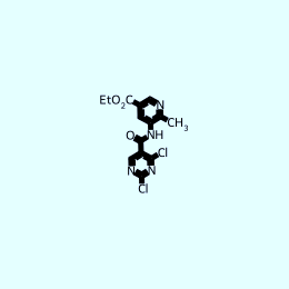 CCOC(=O)c1cnc(C)c(NC(=O)c2cnc(Cl)nc2Cl)c1